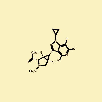 COC(=O)[C@@H]1[C@@H]2[C@H](CN1C(=O)O)[C@H]2c1nn(C2CC2)c2c(F)c(Cl)nc(Br)c12